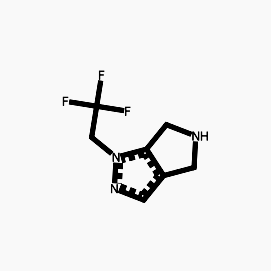 FC(F)(F)Cn1ncc2c1CNC2